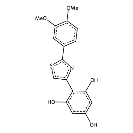 COc1ccc(-c2nc(-c3c(O)cc(O)cc3O)cs2)cc1OC